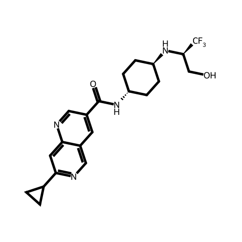 O=C(N[C@H]1CC[C@H](N[C@H](CO)C(F)(F)F)CC1)c1cnc2cc(C3CC3)ncc2c1